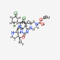 Cc1ccnc(C(C)C)c1-n1c(=O)nc(N2CCN(C(=O)OC(C)(C)C)CC2C)c2cc(Cl)c(-c3cc(Cl)ccc3F)nc21